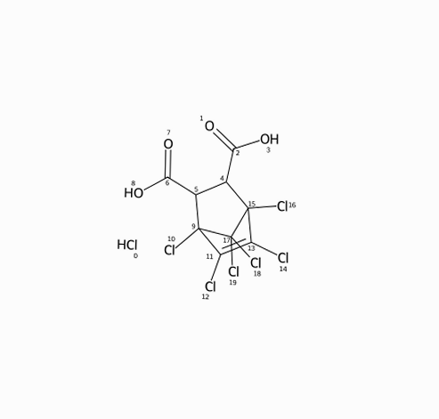 Cl.O=C(O)C1C(C(=O)O)C2(Cl)C(Cl)=C(Cl)C1(Cl)C2(Cl)Cl